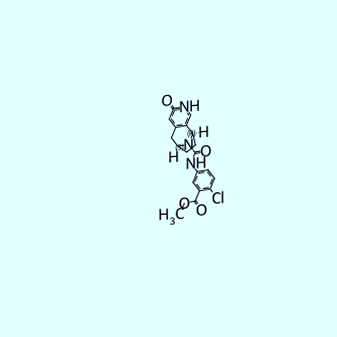 COC(=O)c1cc(NC(=O)N2[C@H]3CC[C@@H]2c2c[nH]c(=O)cc2C3)ccc1Cl